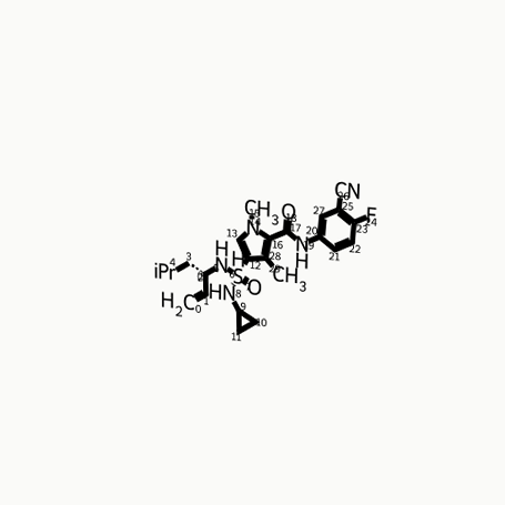 C=C[C@H](CC(C)C)N[SH](=O)(NC1CC1)c1cn(C)c(C(=O)Nc2ccc(F)c(C#N)c2)c1C